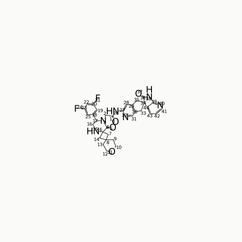 O=C(CN1C(=O)C2(CC3(CCOCC3)C2)NCC1c1cc(F)cc(F)c1)Nc1cc2c(cn1)CC1(C2)C(=O)Nc2ncccc21